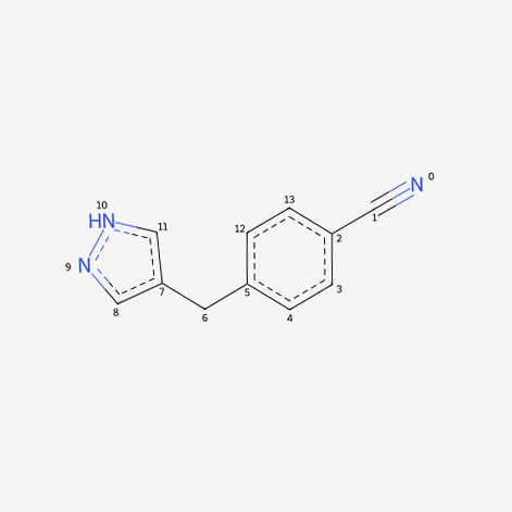 N#Cc1ccc(Cc2cn[nH]c2)cc1